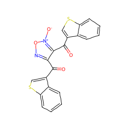 O=C(c1no[n+]([O-])c1C(=O)c1csc2ccccc12)c1csc2ccccc12